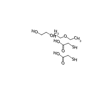 CCOCC.O=C(O)CS.O=C(O)CS.OCCO